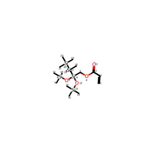 C=CC(=O)OC[Si](O[Si](C)(C)C)(O[Si](C)(C)C)[Si](C)(C)[Si](C)(C)C